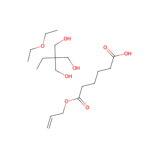 C=CCOC(=O)CCCCC(=O)O.CCC(CO)(CO)CO.CCOCC